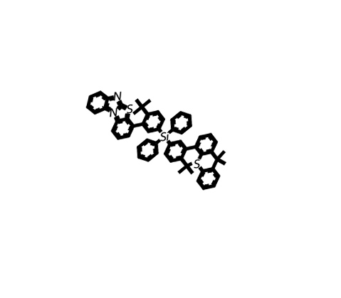 CC(C)(C)c1ccc([Si](c2ccccc2)(c2ccccc2)c2ccc(C(C)(C)C)c(-c3cccc4c3sc3nc5ccccc5n34)c2)cc1-c1cccc2c1Sc1ccccc1C2(C)C